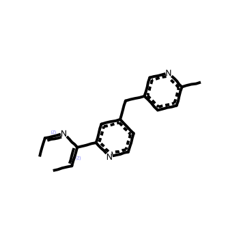 C/C=N\C(=C/C)c1cc(Cc2ccc(C)nc2)ccn1